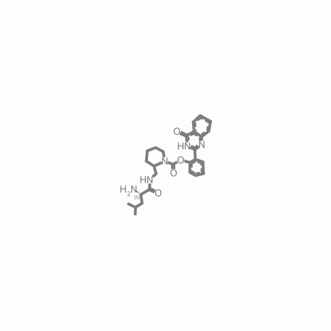 CC(C)C[C@H](N)C(=O)NCC1CCCCN1C(=O)Oc1ccccc1-c1nc2ccccc2c(=O)[nH]1